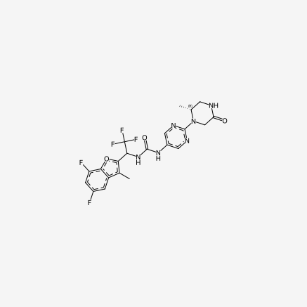 Cc1c(C(NC(=O)Nc2cnc(N3CC(=O)NC[C@H]3C)nc2)C(F)(F)F)oc2c(F)cc(F)cc12